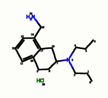 CCCN(CCC)C1CCc2cccc(CN)c2C1.Cl